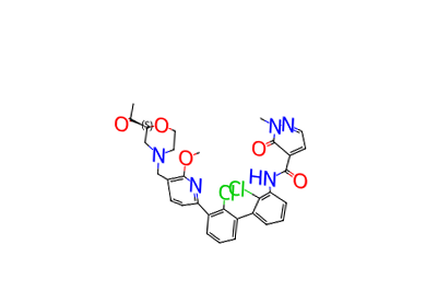 COc1nc(-c2cccc(-c3cccc(NC(=O)c4ccnn(C)c4=O)c3Cl)c2Cl)ccc1CN1CCO[C@H](C(C)=O)C1